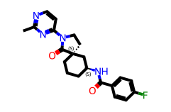 Cc1nccc(N2CC[C@]3(CCC[C@H](NC(=O)c4ccc(F)cc4)C3)C2=O)n1